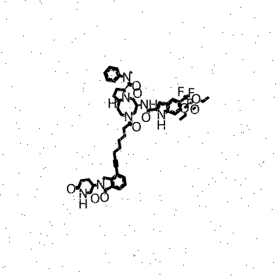 CCOP(=O)(OCC)C(F)(F)c1ccc2[nH]c(C(=O)N[C@H]3CN(C(=O)CCCCCC#Cc4cccc5c4CN(C4CCC(=O)NC4=O)C5=O)CC[C@H]4CC[C@@H](C(=O)N(C)c5ccccc5)N4C3=O)cc2c1